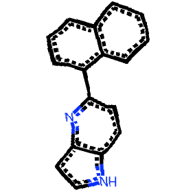 c1ccc2c(-c3ccc4[nH]ccc4n3)cccc2c1